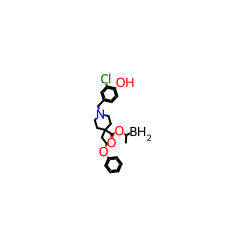 BC(C)OC(=O)C1(CCOc2ccccc2)CCN(Cc2ccc(O)c(Cl)c2)CC1